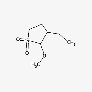 CCC1CCS(=O)(=O)C1OC